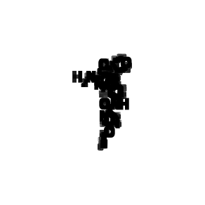 C#CCOc1cnc(C(=O)Nc2ccc(F)c([C@]3(C)N=C(N)S[C@@]4(C(=O)N5CCOCC5)C[C@@H]34)c2)cn1